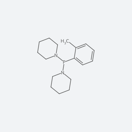 Cc1ccccc1P(N1CCCCC1)N1CCCCC1